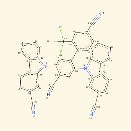 N#Cc1ccc(-c2cc(-n3c4ccccc4c4ccc(C#N)cc43)c(C#N)cc2-n2c3ccccc3c3ccc(C#N)cc32)c(C(F)(F)F)c1